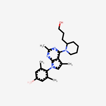 Bc1cc(C)c(-n2cc(C)c3c(N4CCCCC4CCCO)nc(C)nc32)c(C)c1